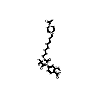 CC(=O)N1CCN(CCCCCCCCN2C(=S)N(c3ccc4c(c3)COC4=O)C(=O)C2(C)C)CC1